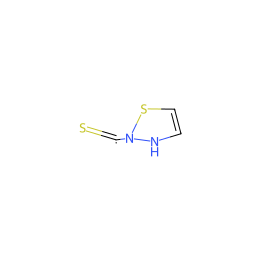 S=[C]N1NC=CS1